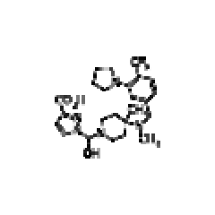 CN(Cc1ccc(C(F)(F)F)c(N2CCCC2)c1)C1(C)CCN(C(O)n2ccc(C(=O)O)n2)CC1